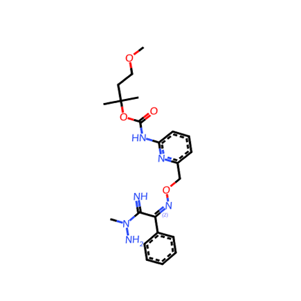 COCCC(C)(C)OC(=O)Nc1cccc(CO/N=C(\C(=N)N(C)N)c2ccccc2)n1